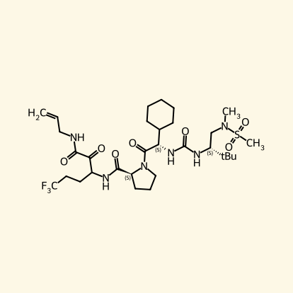 C=CCNC(=O)C(=O)C(CCC(F)(F)F)NC(=O)[C@@H]1CCCN1C(=O)[C@@H](NC(=O)N[C@H](CN(C)S(C)(=O)=O)C(C)(C)C)C1CCCCC1